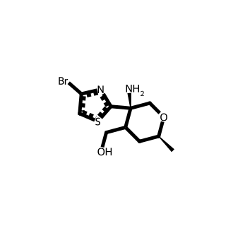 C[C@H]1CC(CO)[C@](N)(c2nc(Br)cs2)CO1